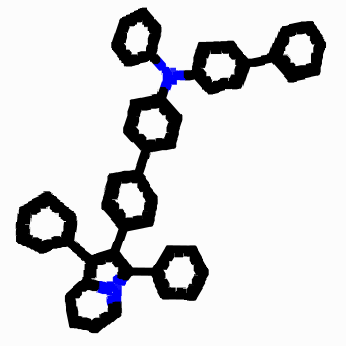 c1ccc(-c2ccc(N(c3ccccc3)c3ccc(-c4ccc(-c5c(-c6ccccc6)c6ccccn6c5-c5ccccc5)cc4)cc3)cc2)cc1